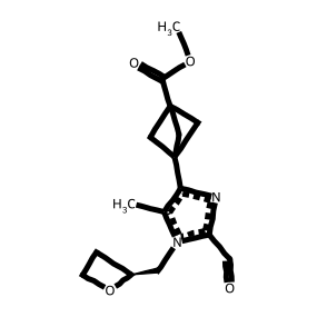 COC(=O)C12CC(c3nc(C=O)n(C[C@@H]4CCO4)c3C)(C1)C2